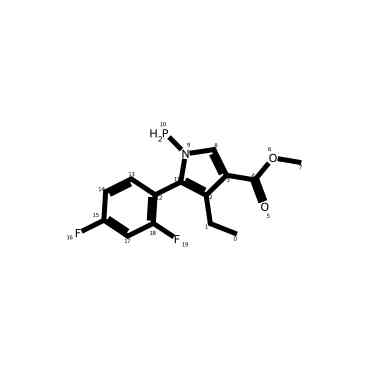 CCc1c(C(=O)OC)cn(P)c1-c1ccc(F)cc1F